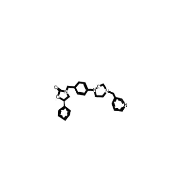 O=C1O[C@H](c2ccccc2)CN1CC1C=CC(N2CCN(Cc3cccnc3)CC2)=CC1